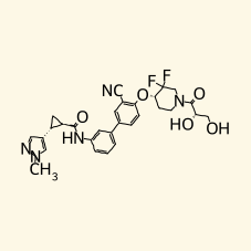 Cn1cc([C@@H]2C[C@H]2C(=O)Nc2cccc(-c3ccc(O[C@H]4CCN(C(=O)[C@@H](O)CO)CC4(F)F)c(C#N)c3)c2)cn1